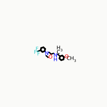 COc1cccc([C@@H](C)NCC2CN(c3cccc(C(F)(F)F)c3)CCO2)c1